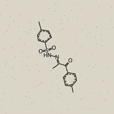 C/C(=N\NS(=O)(=O)c1ccc(C)cc1)C(=O)c1ccc(C)cc1